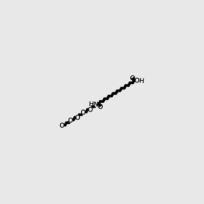 O=CCCOCCOCCOCCOCCNC(=O)CCCCCCCCCCCCCCCCC(=O)O